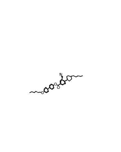 CCCCCCOc1ccc(-c2ccc(OC(=O)c3ccc(C4CCC(CCCCC)CC4)c(C#N)c3)cc2)cc1